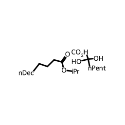 CCCCCC(O)(O)C(=O)O.CCCCCCCCCCCCCC(=O)OC(C)C